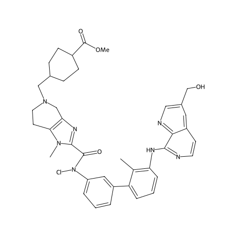 COC(=O)C1CCC(CN2CCc3c(nc(C(=O)N(Cl)c4cccc(-c5cccc(Nc6nccc7cc(CO)cnc67)c5C)c4)n3C)C2)CC1